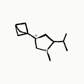 CC(C)C1C[C@H](C23CC(C2)C3)CN1C